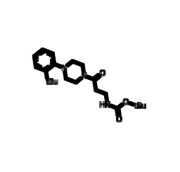 CC(C)(C)OC(=O)NCCC(=O)N1CCN(c2ccccc2C(C)(C)C)CC1